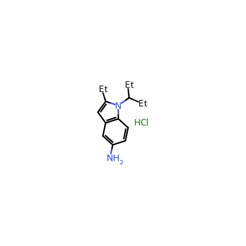 CCc1cc2cc(N)ccc2n1C(CC)CC.Cl